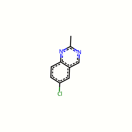 Cc1ncc2cc(Cl)ccc2n1